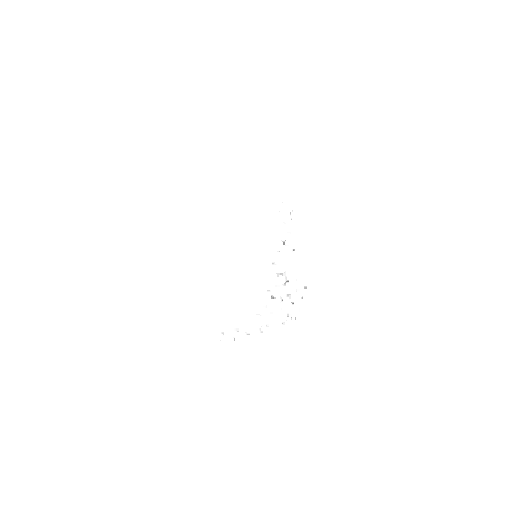 CCCCCC/C=C\CCOC(=O)CCCC(CCCC(=O)OCC/C=C\CCCCCC)OC(=O)CC(C)(C)CC(C)(C)CN(C)C